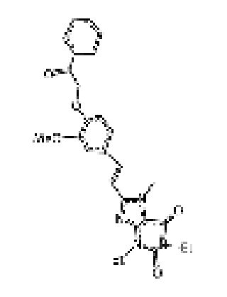 CCn1c(=O)c2c(nc(C=Cc3ccc(OCC(=O)c4ccccc4)c(OC)c3)n2C)n(CC)c1=O